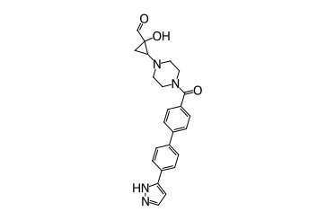 O=CC1(O)CC1N1CCN(C(=O)c2ccc(-c3ccc(-c4ccn[nH]4)cc3)cc2)CC1